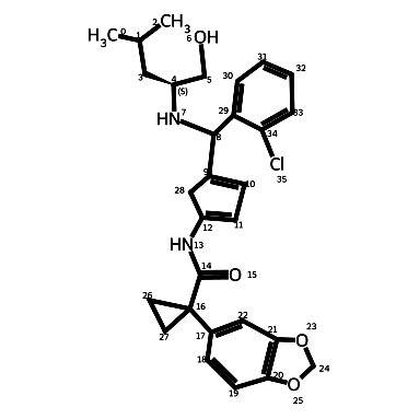 CC(C)C[C@@H](CO)NC(C1=CC=C(NC(=O)C2(c3ccc4c(c3)OCO4)CC2)C1)c1ccccc1Cl